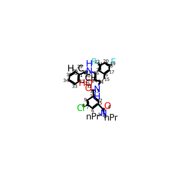 CCCN(CCC)C(=O)c1cc(Cl)cc(C(=O)N[C@@H](Cc2cc(F)cc(F)c2)[C@H](O)CNC(C)(C)c2ccccc2)c1